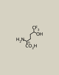 N[C@@H](CCC(O)C(F)(F)F)C(=O)O